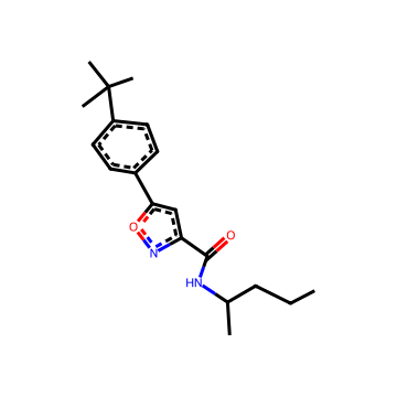 CCCC(C)NC(=O)c1cc(-c2ccc(C(C)(C)C)cc2)on1